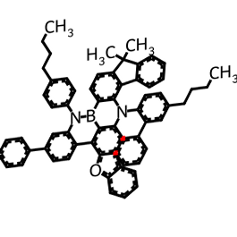 CCCCc1ccc(N2B3c4ccc5c(c4N(c4ccc(CCCC)cc4-c4ccccc4)c4cc6c(oc7ccccc76)c(c43)-c3ccc(-c4ccccc4)cc32)-c2ccccc2C5(C)C)cc1